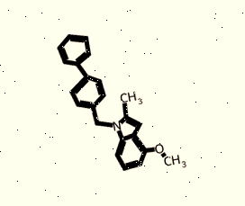 COc1cccc2c1cc(C)n2Cc1ccc(-c2ccccc2)cc1